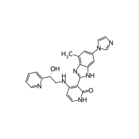 Cc1cc(-n2ccnc2)cc2[nH]c(-c3c(NC[C@@H](O)c4ccccn4)cc[nH]c3=O)nc12